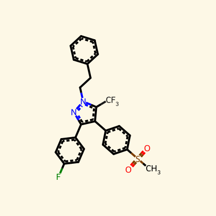 CS(=O)(=O)c1ccc(-c2c(-c3ccc(F)cc3)nn(CCc3ccccc3)c2C(F)(F)F)cc1